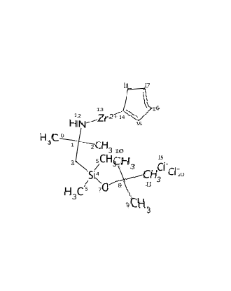 CC(C)(C[Si](C)(C)OC(C)(C)C)[NH][Zr+2][C]1=CC=CC1.[Cl-].[Cl-]